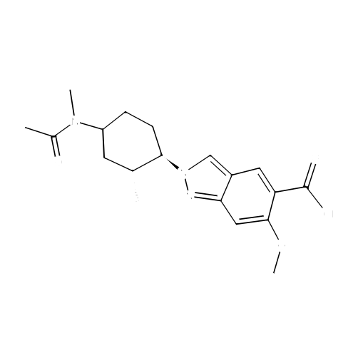 COc1cc2nn([C@@H]3CCC(N(C)C(C)=O)C[C@H]3C)cc2cc1C(=O)O